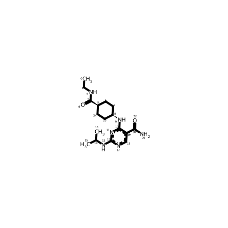 CCNC(=O)[C@H]1CC[C@H](Nc2nc(NC(C)C)ncc2C(N)=O)CC1